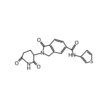 O=C1CCC(N2Cc3cc(C(=O)Nc4ccsc4)ccc3C2=O)C(=O)N1